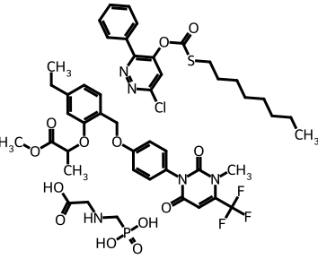 CCCCCCCCSC(=O)Oc1cc(Cl)nnc1-c1ccccc1.CCc1ccc(COc2ccc(-n3c(=O)cc(C(F)(F)F)n(C)c3=O)cc2)c(OC(C)C(=O)OC)c1.O=C(O)CNCP(=O)(O)O